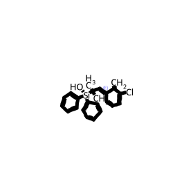 C=c1c(Cl)ccc/c1=C\C(C)(C)[Si](O)(c1ccccc1)c1ccccc1